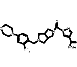 CNC(=O)c1cnn(C(=O)N2CC3CN(Cc4ccc(N5CCOCC5)cc4C(F)(F)F)CC3C2)c1